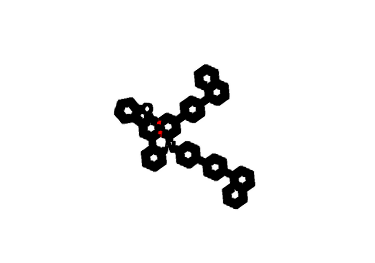 c1cc(-c2ccc(-c3cccc4ccccc34)cc2)cc(N(c2ccc(-c3ccc(-c4cccc5ccccc45)cc3)cc2)c2ccccc2-c2ccc3oc4ccccc4c3c2)c1